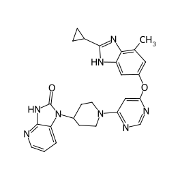 Cc1cc(Oc2cc(N3CCC(n4c(=O)[nH]c5ncccc54)CC3)ncn2)cc2[nH]c(C3CC3)nc12